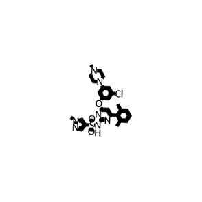 Cc1cccc(C)c1-c1cc(Oc2cc(Cl)cc(N3CCN(C)CC3)c2)nc(NS(=O)(=O)c2cnn(C)c2)n1